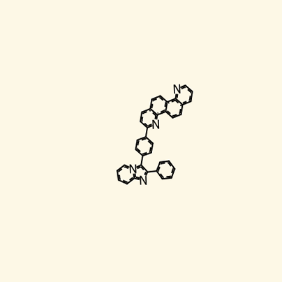 c1ccc(-c2nc3ccccn3c2-c2ccc(-c3ccc4ccc5c(ccc6cccnc65)c4n3)cc2)cc1